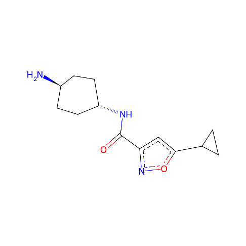 N[C@H]1CC[C@H](NC(=O)c2cc(C3CC3)on2)CC1